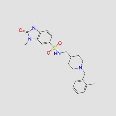 Cc1ccccc1CN1CCC(CNS(=O)(=O)c2ccc3c(c2)n(C)c(=O)n3C)CC1